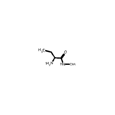 CCC(N)C(=O)NO